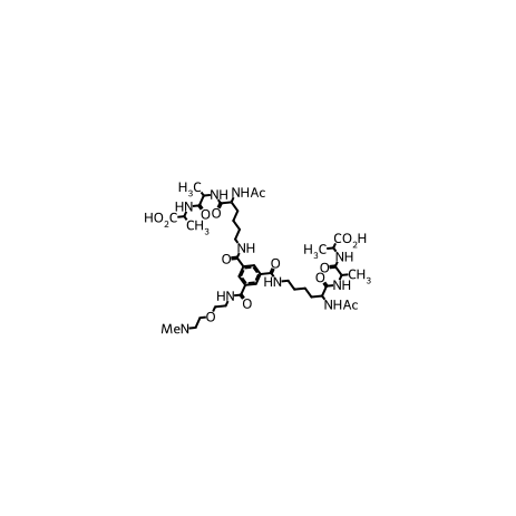 CNCCOCCNC(=O)c1cc(C(=O)NCCCCC(NC(C)=O)C(=O)NC(C)C(=O)NC(C)C(=O)O)cc(C(=O)NCCCCC(NC(C)=O)C(=O)NC(C)C(=O)NC(C)C(=O)O)c1